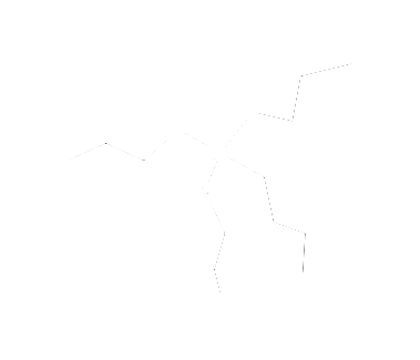 CCCS[Si](CCCI)(SCCC)SCCC